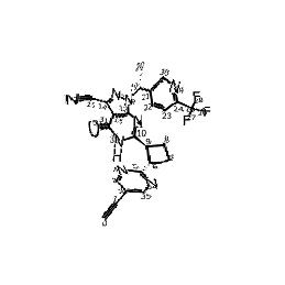 C#Cc1cnc([C@H]2CC[C@@H]2c2nc3c(c(C#N)nn3[C@H](C)c3ccc(C(F)(F)F)nc3)c(=O)[nH]2)nc1